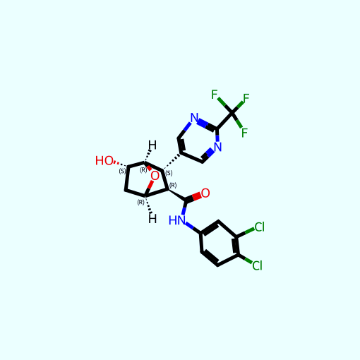 O=C(Nc1ccc(Cl)c(Cl)c1)[C@@H]1[C@@H](c2cnc(C(F)(F)F)nc2)[C@H]2O[C@@H]1C[C@@H]2O